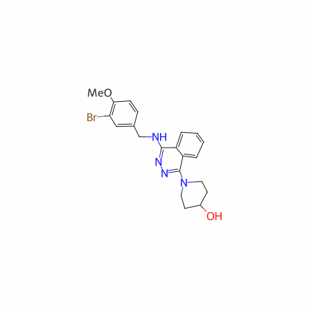 COc1ccc(CNc2nnc(N3CCC(O)CC3)c3ccccc23)cc1Br